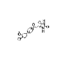 COc1cc(N2CCN(C(=O)CC[C@]3(C)NC(=O)NC3=O)CC2)ccc1Cl